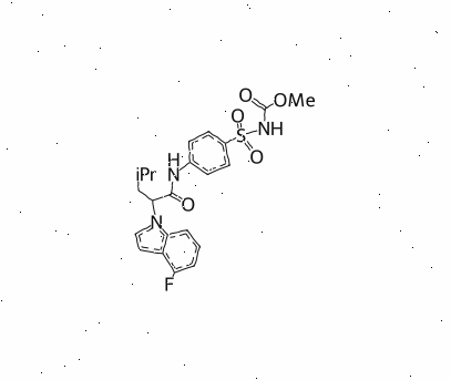 COC(=O)NS(=O)(=O)c1ccc(NC(=O)C(CC(C)C)n2ccc3c(F)cccc32)cc1